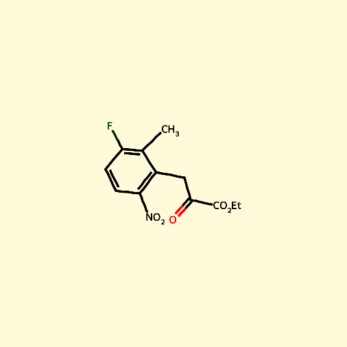 CCOC(=O)C(=O)Cc1c([N+](=O)[O-])ccc(F)c1C